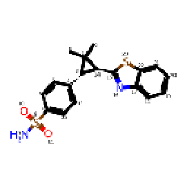 CC1(C)[C@@H](c2ccc(S(N)(=O)=O)cc2)[C@@H]1c1nc2ccccc2s1